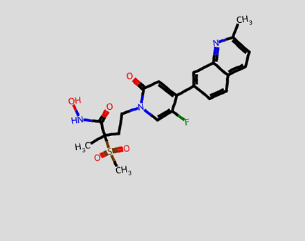 Cc1ccc2ccc(-c3cc(=O)n(CCC(C)(C(=O)NO)S(C)(=O)=O)cc3F)cc2n1